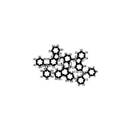 c1ccc(N(c2ccccc2)c2ccc3c(c2)c2ccccc2n3-c2ccc(-n3c4ccccc4c4cc(N(c5ccccc5)c5ccccc5)ccc43)c3nc4c5ccccc5c5ccccc5c4nc23)cc1